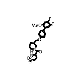 COc1cc(F)c(F)cc1-c1ccc(OCC2CCCN(C(=O)C3CCS(=O)(=O)N3)C2)cc1